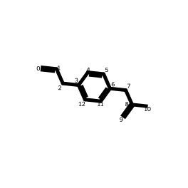 C=CCc1ccc(CC(=C)C)cc1